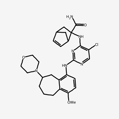 COc1ccc(Nc2ncc(Cl)c(NC3(C(N)=O)CC4C=CC3C4)n2)c2c1CCCC(N1CCOCC1)C2